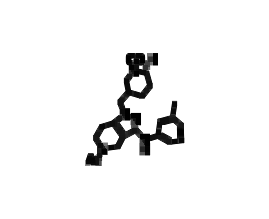 CC(=O)N1CCc2c(c(Nc3cccc(C)c3)nn2CC2CCCN(C(=O)O)C2)C1